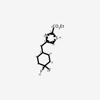 CCOC(=O)c1nc(CC2CCC(F)(F)CC2)cs1